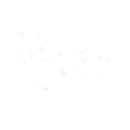 O=c1c(NCc2cccnc2)c(N2CCN(S(=O)(=O)c3ccccc3Cl)CC2)cnn1-c1ccccc1